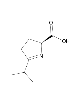 CC(C)C1=N[C@H](C(=O)O)CC1